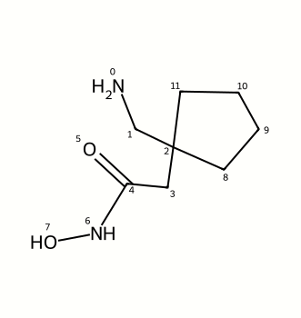 NCC1(CC(=O)NO)CCCC1